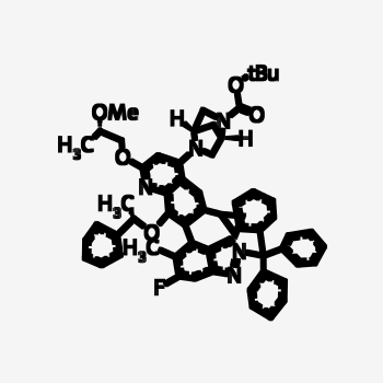 CO[C@@H](C)COc1cc(N2C[C@@H]3C[C@H]2CN3C(=O)OC(C)(C)C)c2cc(C3CC3)c(-c3c(C)c(F)cc4nn(C(c5ccccc5)(c5ccccc5)c5ccccc5)cc34)c(O[C@@H](C)c3ccccc3)c2n1